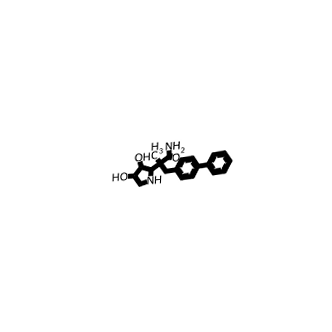 CC(Cc1ccc(-c2ccccc2)cc1)(C(N)=O)C1NCC(O)C1O